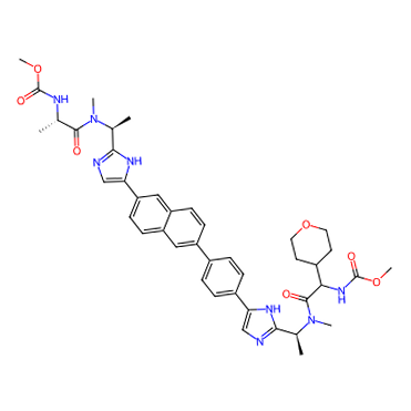 COC(=O)NC(C(=O)N(C)[C@@H](C)c1ncc(-c2ccc(-c3ccc4cc(-c5cnc([C@H](C)N(C)C(=O)[C@H](C)NC(=O)OC)[nH]5)ccc4c3)cc2)[nH]1)C1CCOCC1